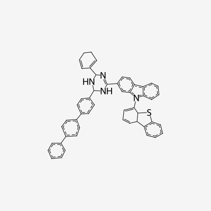 C1=CC2c3ccccc3SC2C(n2c3ccccc3c3ccc(C4=NC(C5=CCCC=C5)NC(c5ccc(-c6ccc(-c7ccccc7)cc6)cc5)N4)cc32)=C1